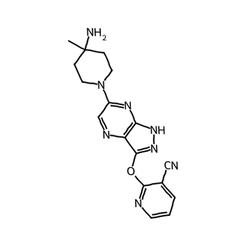 CC1(N)CCN(c2cnc3c(Oc4ncccc4C#N)n[nH]c3n2)CC1